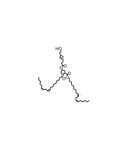 CCCCC/C=C\C/C=C\CCCCCCCCOC(=O)C1CC(OC(=O)CCN2CC(CCO)C2)CN1C(=O)CCCCCCC/C=C\C/C=C\CCCCC